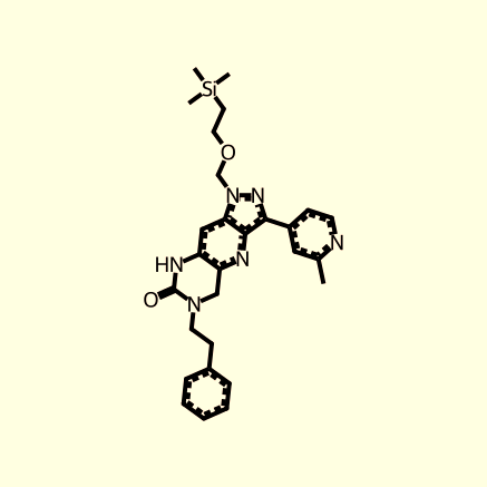 Cc1cc(-c2nn(COCC[Si](C)(C)C)c3cc4c(nc23)CN(CCc2ccccc2)C(=O)N4)ccn1